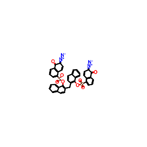 [N-]=[N+]=C1C=Cc2c(cccc2S(=O)(=O)Oc2c(Cc3ccc4ccccc4c3OS(=O)(=O)c3cccc4c3C=CC(=[N+]=[N-])C4=O)ccc3ccccc23)C1=O